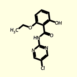 CCOc1cccc(O)c1C(=O)Nc1ncc(Cl)cn1